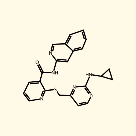 O=C(Nc1cc2ccccc2cn1)c1cccnc1SCc1ccnc(NC2CC2)n1